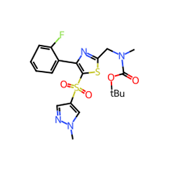 CN(Cc1nc(-c2ccccc2F)c(S(=O)(=O)c2cnn(C)c2)s1)C(=O)OC(C)(C)C